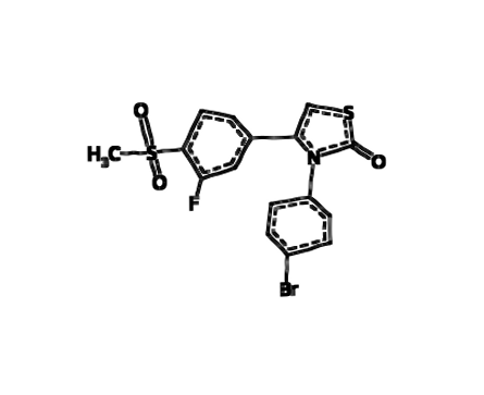 CS(=O)(=O)c1ccc(-c2csc(=O)n2-c2ccc(Br)cc2)cc1F